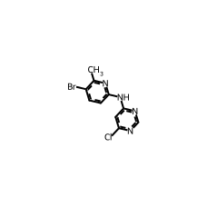 Cc1nc(Nc2cc(Cl)ncn2)ccc1Br